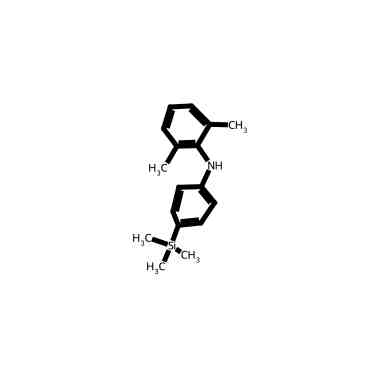 Cc1cccc(C)c1Nc1ccc([Si](C)(C)C)cc1